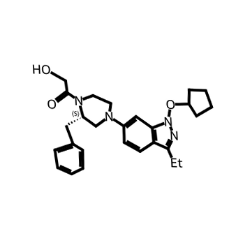 CCc1nn(OC2CCCC2)c2cc(N3CCN(C(=O)CO)[C@@H](Cc4ccccc4)C3)ccc12